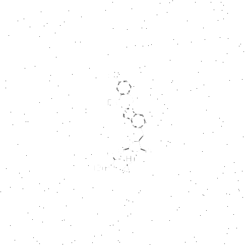 CC(C)(C)OC(=O)NC1(CN2C(=O)SC(=Cc3ccc4c(cnn4Cc4ccc(Cl)cc4C(F)(F)F)c3)C2=O)CC1